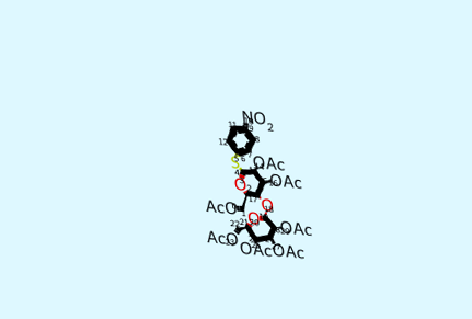 CC(=O)OC[C@H]1O[C@@H](Sc2ccc([N+](=O)[O-])cc2)[C@H](OC(C)=O)[C@@H](OC(C)=O)[C@@H]1O[C@H]1O[C@H](COC(C)=O)[C@@H](OC(C)=O)[C@H](OC(C)=O)[C@H]1OC(C)=O